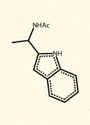 C[C](NC(C)=O)c1cc2ccccc2[nH]1